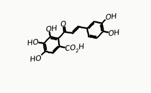 O=C(O)c1cc(O)c(O)c(O)c1C(=O)C=Cc1ccc(O)c(O)c1